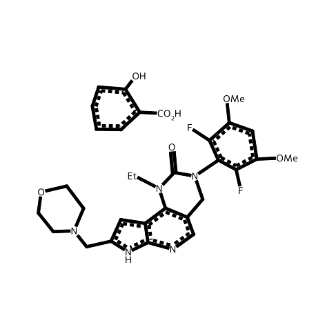 CCN1C(=O)N(c2c(F)c(OC)cc(OC)c2F)Cc2cnc3[nH]c(CN4CCOCC4)cc3c21.O=C(O)c1ccccc1O